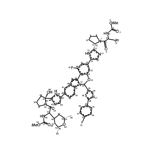 COC(=O)NC(C(=O)N1CCC[C@H]1c1ncc(-c2cc(F)c3c(c2)OC(c2cnc(-c4ccc(F)cc4)s2)n2c-3cc3cc(-c4cnc([C@@]5(O)CCCN5C(=O)C(NC(=O)OC)C5C[C@@H](C)O[C@@H](C)C5)[nH]4)ccc32)[nH]1)C(C)C